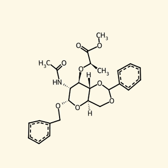 COC(=O)[C@@H](C)O[C@@H]1[C@@H](NC(C)=O)[C@@H](OCc2ccccc2)O[C@@H]2COC(c3ccccc3)O[C@@H]12